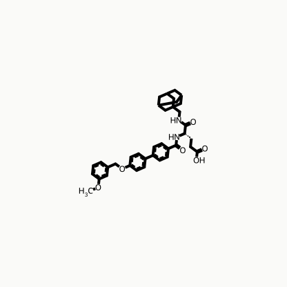 COc1cccc(COc2ccc(-c3ccc(C(=O)N[C@@H](CCC(=O)O)C(=O)NCC45CC6CC(CC(C6)C4)C5)cc3)cc2)c1